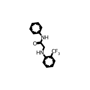 O=C(CNc1ccccc1C(F)(F)F)Nc1ccccc1